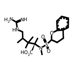 CC(CNC(=N)N)C(C)(C)[C@@](C)(C(=O)O)N(C)S(=O)(=O)C1CCc2ccccc2O1